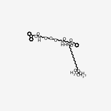 CC(C)(C)OC(=O)CCCCCCCCCCCCCCC(=O)NC(CCC(=O)NCCCOCCOCCOCCCNC(=O)OCC1c2ccccc2-c2ccccc21)C(=O)OCc1ccccc1